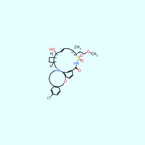 COCC[C@@H]1[C@@H](C)C/C=C/[C@H](O)[C@@H]2CC[C@H]2CN2CCCCc3cc(Cl)ccc3COc3ccc(cc32)C(=O)NS1(=O)=O